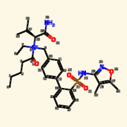 CCCCC(=O)[N+](CC)(Cc1ccc(-c2ccccc2S(=O)(=O)Nc2noc(C)c2C)cc1)[C@H](C(N)=O)C(C)C